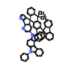 CC1(C)c2ccccc2C2(c3cc4c(cc31)C1(c3ccccc3-c3ccccc31)c1ccccc1-4)c1cccnc1-c1ncc(-n3c4ccccc4c4c5c6ccccc6n(-c6ccccc6)c5ccc43)cc12